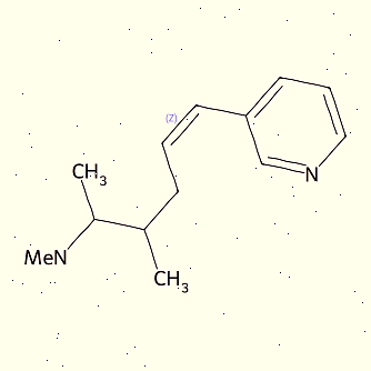 CNC(C)C(C)C/C=C\c1cccnc1